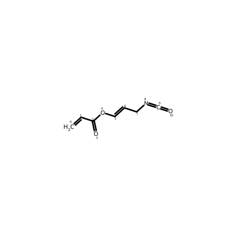 C=CC(=O)OC=CCN=C=O